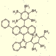 B/C(C)=C(B)/C(B)=C(/B)C(=C)c1nc2ccccc2n1-c1c2ccccc2c(-c2c(B)c(B)c(B)c(B)c2B)c2cc(-c3ccccc3)ccc12